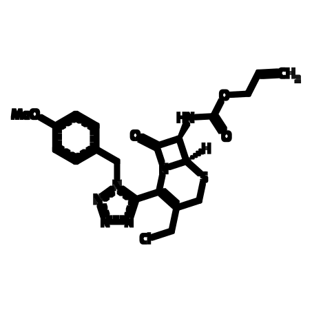 C=CCOC(=O)N[C@@H]1C(=O)N2C(c3nnnn3Cc3ccc(OC)cc3)=C(CCl)CS[C@H]12